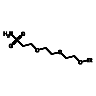 CCOCCOCCOCCS(N)(=O)=O